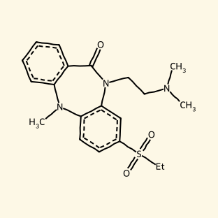 CCS(=O)(=O)c1ccc2c(c1)N(CCN(C)C)C(=O)c1ccccc1N2C